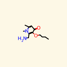 CCCCOc1c(CN)n(C)c(C)cc1=O